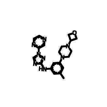 Cc1cc(Nc2ncn(-c3cnccn3)n2)cc(N2CCN(C3COC3)CC2)c1